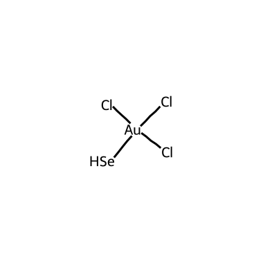 [Cl][Au]([Cl])([Cl])[SeH]